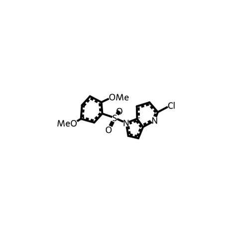 COc1ccc(OC)c(S(=O)(=O)n2ccc3nc(Cl)ccc32)c1